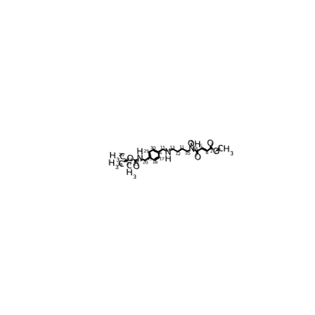 COC(=O)/C=C/C(=O)N(O)CCCCNCc1ccc(CNC(=O)OC(C)(C)C)cc1